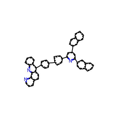 c1ccc2cc(-c3cc(-c4ccc(-c5ccc(-c6c7ccccc7nc7c6ccc6cccnc67)cc5)cc4)nc(-c4ccc5ccccc5c4)c3)ccc2c1